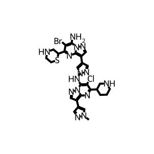 Cn1cc(-c2cnn3c(Nn4cc(-c5cnn6c(N)c(Br)c(C7CNCCS7)nc56)cn4)c(Cl)c(C4CCCNC4)nc23)cn1